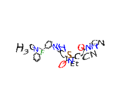 CCn1c(=C=C(C#N)C(=O)NCC#N)sc(=C=CNc2cccc(CCN(C)c3ccccc3F)c2)c1=O